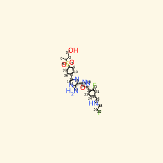 CC(CCO)S(=O)(=O)c1ccc(-c2cnc(N)c(-c3nnc(-c4ccc(CNCCF)cc4F)o3)n2)cc1